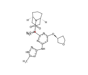 CCS(=O)(=O)N1[C@@H]2CCC[C@H]1C[C@H](N(C)c1nc(Nc3cc(C)[nH]n3)cc(O[C@H]3CCOC3)n1)C2